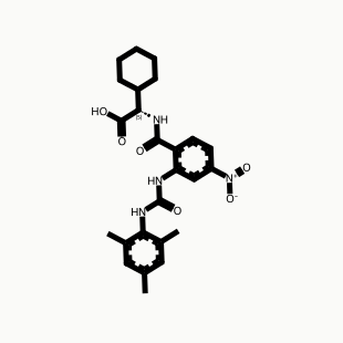 Cc1cc(C)c(NC(=O)Nc2cc([N+](=O)[O-])ccc2C(=O)N[C@H](C(=O)O)C2CCCCC2)c(C)c1